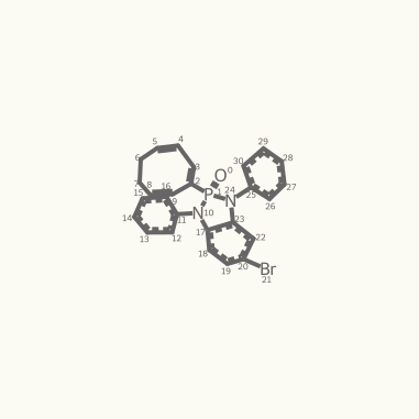 O=P1(C2=C/C=C\CC/C=C\2)N(c2ccccc2)c2ccc(Br)cc2N1c1ccccc1